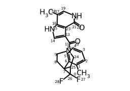 Cc1ccccc1C12CCN(C(=O)c3c[nH]c4c(C)c[nH]c(=O)c34)CC1C2(F)F